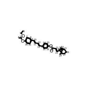 CCOC(C)Oc1ccc(C=CC=Cc2ccc(OC(=O)C=CC3CC4CCC3(C)C4(C)C)cc2)cc1